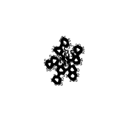 c1ccc(-c2cc(-c3cccc4ccccc34)c(-c3nc(-c4cccc5c4sc4ccccc45)nc(-c4cccc5c4sc4ccccc45)n3)c(-c3cccc4ccccc34)c2)cc1